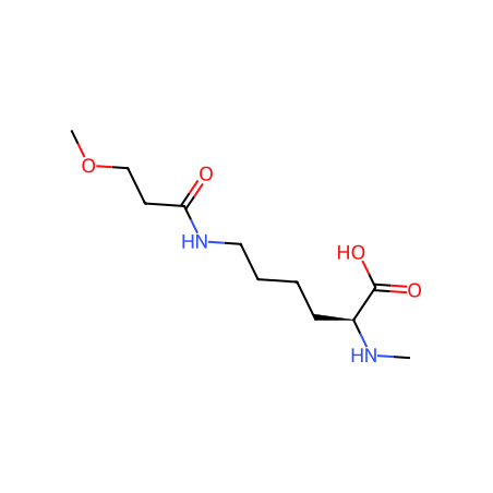 CN[C@@H](CCCCNC(=O)CCOC)C(=O)O